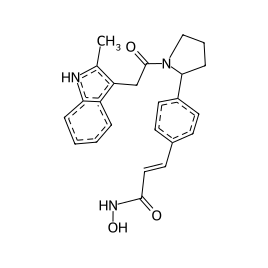 Cc1[nH]c2ccccc2c1CC(=O)N1CCCC1c1ccc(C=CC(=O)NO)cc1